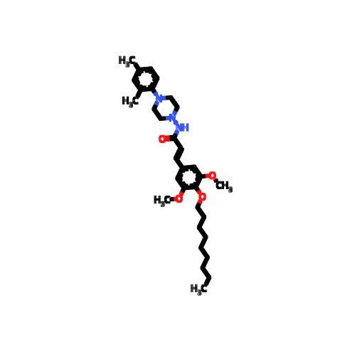 CCCCCCCCCOc1c(OC)cc(C=CC(=O)NN2CCN(c3ccc(C)cc3C)CC2)cc1OC